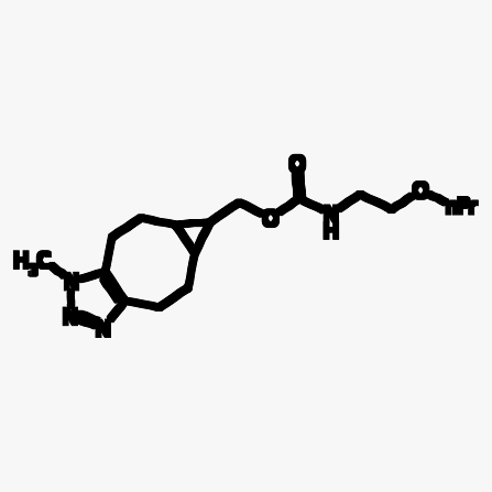 CCCOCCNC(=O)OCC1C2CCc3nnn(C)c3CCC21